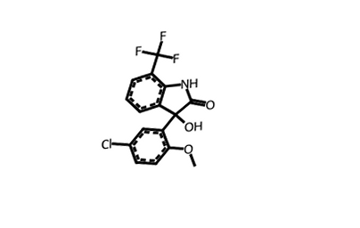 COc1ccc(Cl)cc1C1(O)C(=O)Nc2c(C(F)(F)F)cccc21